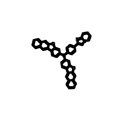 c1ccc2cc3c(cc2c1)oc1cc(N(c2ccc(-c4cn5ccccc5n4)cc2)c2ccc4c(c2)oc2cc5ccccc5cc24)ccc13